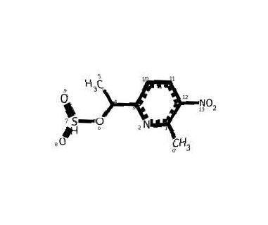 Cc1nc(C(C)O[SH](=O)=O)ccc1[N+](=O)[O-]